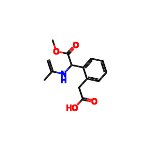 C=C(C)NC(C(=O)OC)c1ccccc1CC(=O)O